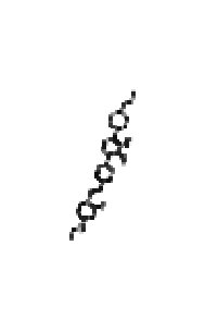 CCCC1CCC(c2ccc(-c3ccc(/C=C/c4ccc(OCC)cc4F)cc3)c(F)c2F)CC1